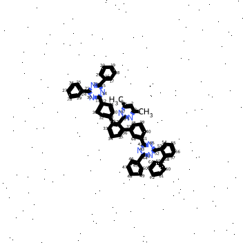 Cc1cc(C)nc(-c2c(-c3ccc(-c4nc(-c5ccccc5)nc(-c5ccccc5)n4)cc3)cccc2-c2cccc(-c3nc(-c4ccccc4)nc(-c4ccccc4-c4ccccc4)n3)c2)n1